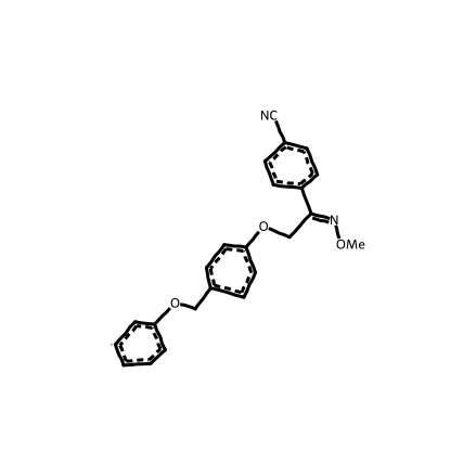 CO/N=C(\COc1ccc(COc2c[c]ccc2)cc1)c1ccc(C#N)cc1